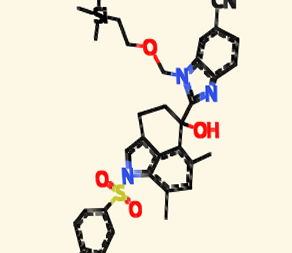 Cc1ccc(S(=O)(=O)n2cc3c4c(c(C)cc(C)c42)C(O)(c2nc4ccc(C#N)cc4n2COCC[Si](C)(C)C)CC3)cc1